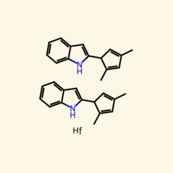 CC1=CC(c2cc3ccccc3[nH]2)C(C)=C1.CC1=CC(c2cc3ccccc3[nH]2)C(C)=C1.[Hf]